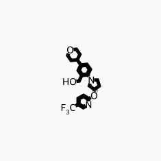 OCc1cc(C2CCOCC2)ccc1N1CC[C@H](Oc2ccc(C(F)(F)F)cn2)C1